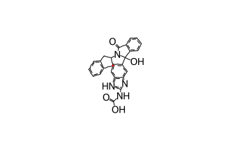 O=C(O)Nc1nc2cc(C3(O)c4ccccc4C(=O)N3C3Cc4ccccc4C3)ccc2[nH]1